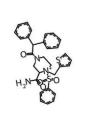 NC(=O)C1CN(C(=O)C(c2ccccc2)c2ccccc2)CC[N+]1(Cc1cccs1)S(=O)(=O)c1ccccc1